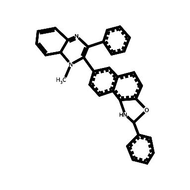 CN1C(c2ccc3c4c(ccc3c2)OC(c2ccccc2)N4)=C(c2ccccc2)N=C2C=CC=CC21